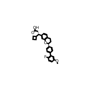 COc1ccc(F)c(-c2ccc([C@@H]3CCc4ccc([C@@H](CC(=O)O)C5CCC5)cc4O3)cc2)c1